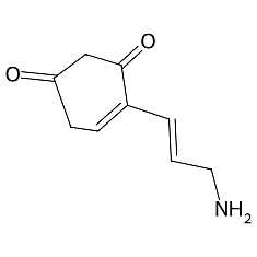 NC/C=C/C1=CCC(=O)CC1=O